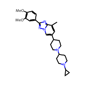 COc1ccc(-c2nc3c(C)cc(C4CCN(C5CCN(C6CC6)CC5)CC4)cn3n2)cc1OC